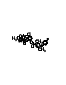 CC(=O)OC(C)(C)C(=O)NS(=O)(=O)Cc1cc(Cl)ccc1OCC(=O)N1C[C@H](C)N(Cc2ccc(F)cc2)C[C@H]1C